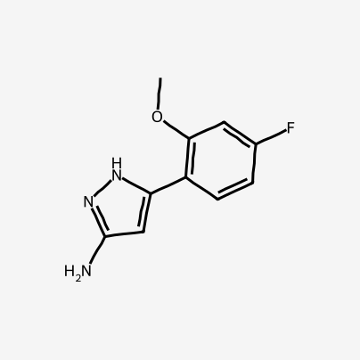 COc1cc(F)ccc1-c1cc(N)n[nH]1